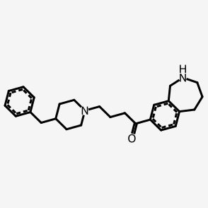 O=C(CCCN1CCC(Cc2ccccc2)CC1)c1ccc2c(c1)CNCCC2